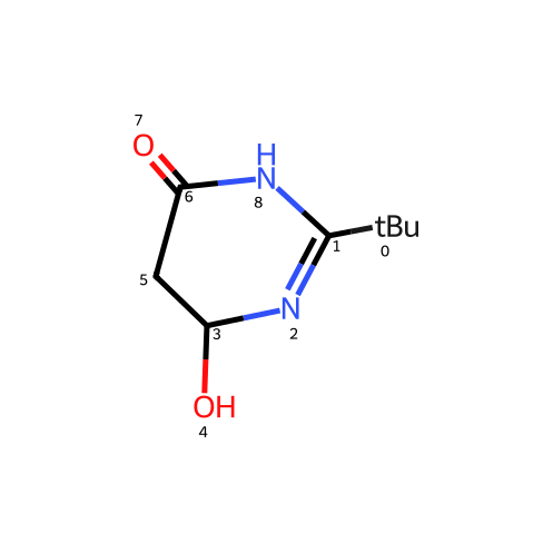 CC(C)(C)C1=NC(O)CC(=O)N1